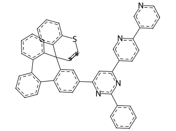 c1ccc(-c2nc(-c3ccc(-c4cccnc4)nc3)cc(-c3ccc4c(c3)C3(c5ccccc5Sc5ccccc53)c3ccccc3-c3ccccc3-4)n2)cc1